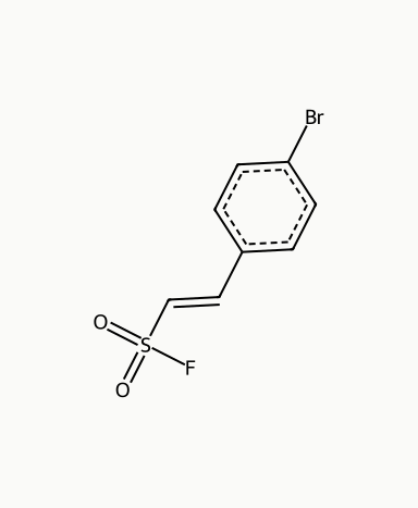 O=S(=O)(F)C=Cc1ccc(Br)cc1